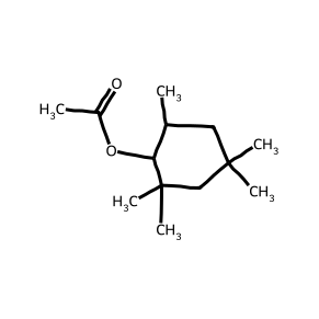 CC(=O)OC1C(C)CC(C)(C)CC1(C)C